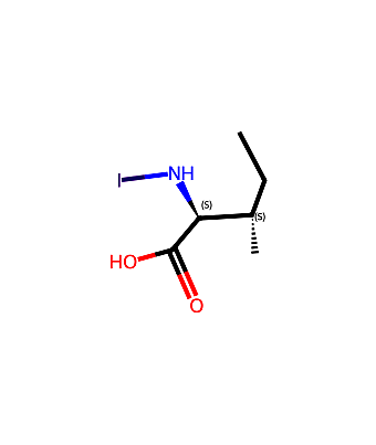 CC[C@H](C)[C@H](NI)C(=O)O